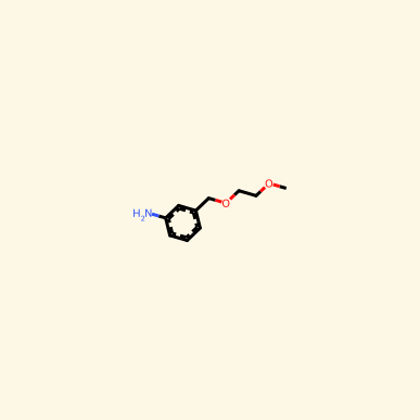 COCCOCc1cccc(N)c1